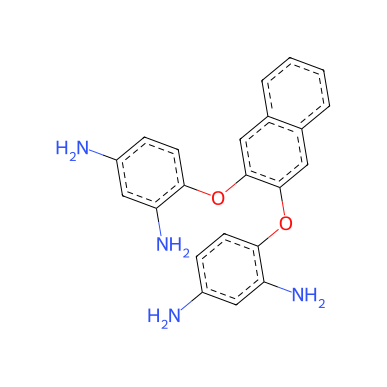 Nc1ccc(Oc2cc3ccccc3cc2Oc2ccc(N)cc2N)c(N)c1